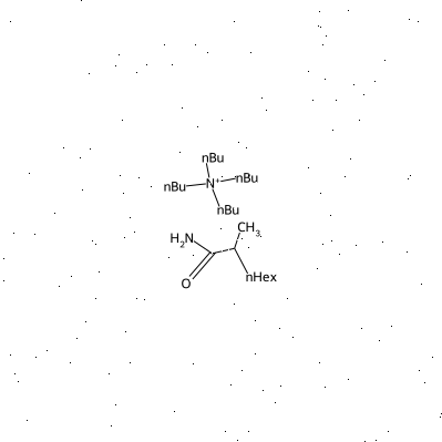 CCCCCCC(C)C(N)=O.CCCC[N+](CCCC)(CCCC)CCCC